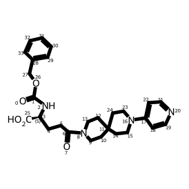 O=C(N[C@@H](CCC(=O)N1CCC2(CC1)CCN(c1ccncc1)CC2)C(=O)O)OCc1ccccc1